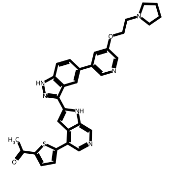 CC(=O)c1ccc(-c2cncc3[nH]c(-c4n[nH]c5ccc(-c6cncc(OCCN7CCCC7)c6)cc45)cc23)s1